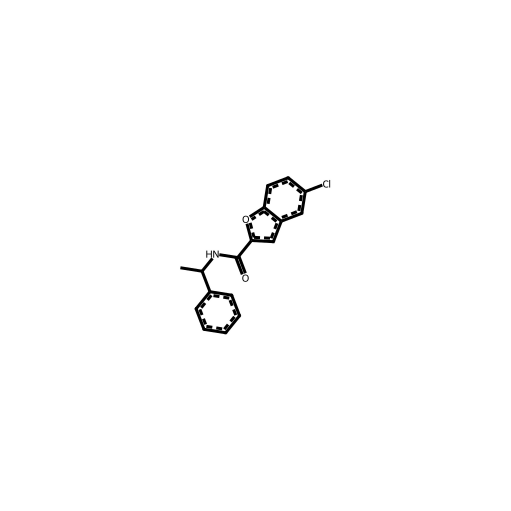 CC(NC(=O)c1cc2cc(Cl)ccc2o1)c1ccccc1